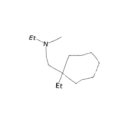 CCN(C)CC1(CC)CCCCC1